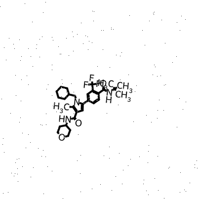 Cc1c(C(=O)NC2CCOCC2)cc(-c2ccc(C(=O)NC(C)(C)C)c(C(F)(F)F)c2)n1CC1CCCCC1